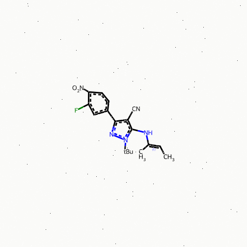 C/C=C(\C)Nc1c(C#N)c(-c2ccc([N+](=O)[O-])c(F)c2)nn1C(C)(C)C